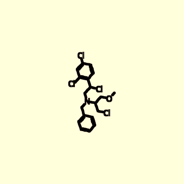 COCC(CCl)N(Cc1ccccc1)CC(Cl)c1ccc(Cl)cc1Cl